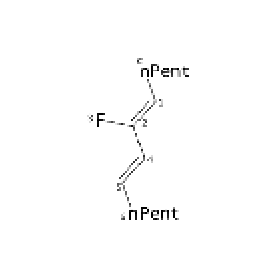 CCCCC/C=C(F)/C=C/CCCCC